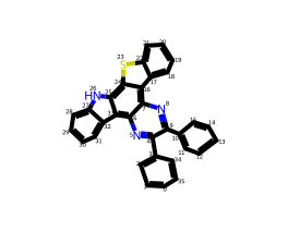 c1ccc(-c2nc3c(nc2-c2ccccc2)c2c4ccccc4sc2c2[nH]c4ccccc4c32)cc1